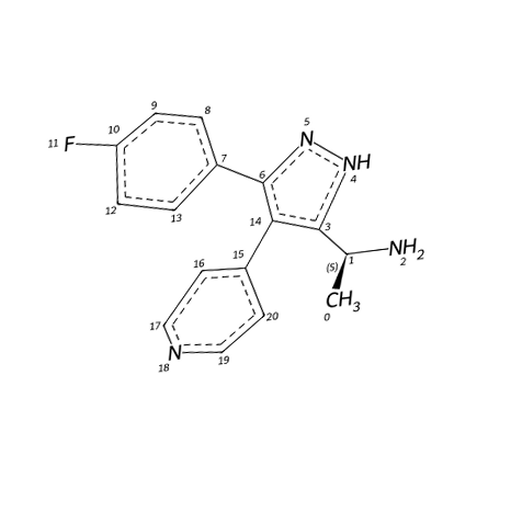 C[C@H](N)c1[nH]nc(-c2ccc(F)cc2)c1-c1ccncc1